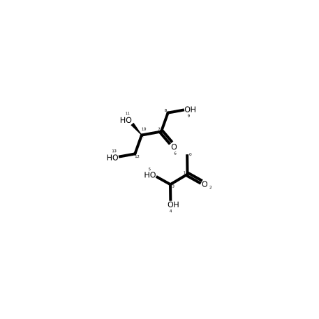 CC(=O)C(O)O.O=C(CO)[C@H](O)CO